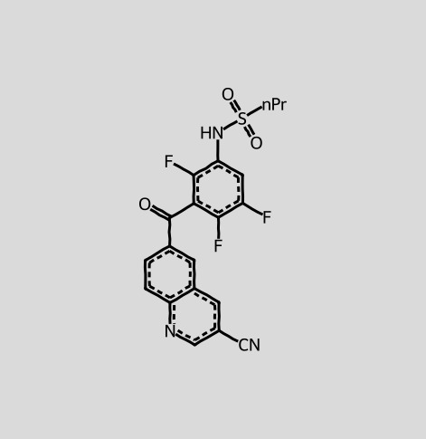 CCCS(=O)(=O)Nc1cc(F)c(F)c(C(=O)c2ccc3ncc(C#N)cc3c2)c1F